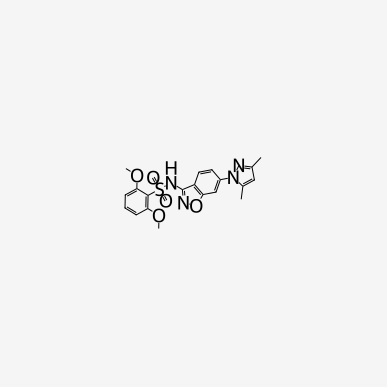 COc1cccc(OC)c1S(=O)(=O)Nc1noc2cc(-n3nc(C)cc3C)ccc12